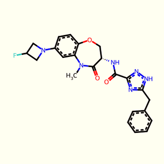 CN1C(=O)[C@@H](NC(=O)c2n[nH]c(Cc3ccccc3)n2)COc2ccc(N3CC(F)C3)cc21